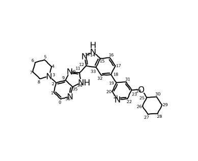 c1cc(N2CCCCC2)c2nc(-c3n[nH]c4ccc(-c5cncc(OC6CCCCC6)c5)cc34)[nH]c2n1